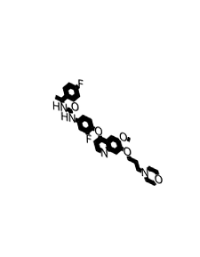 COc1cc2c(Oc3ccc(NC(=O)NC(C)c4ccc(F)cc4)cc3F)ccnc2cc1OCCCN1CCOCC1